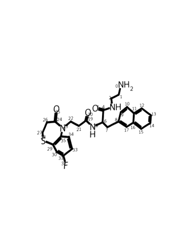 NCCNC(=O)C(Cc1ccc2ccccc2c1)NC(=O)CCN1C(=O)CCSc2cc(F)ccc21